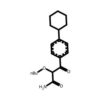 CCCCOC(C(N)=O)C(=O)c1ccc([C]2CCCCC2)cc1